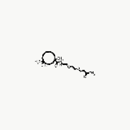 CC(=O)CCOCCOCCNC(=O)C1(C)CCCCCCC(C)(C)CCC1